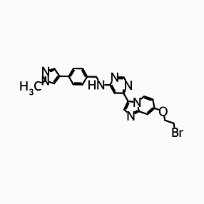 Cn1cc(-c2ccc(CNc3cc(-c4cnc5cc(OCCBr)ccn45)ncn3)cc2)cn1